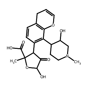 CN1CCC(c2c(C3C(=O)C(O)OC3(C)C(=O)O)ccc3c2OC=CC3)C(O)C1